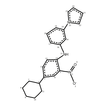 O=[N+]([O-])c1cc(C2CCCCC2)ccc1Nc1cccc(-n2cccc2)c1